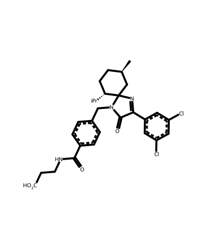 CC(C)[C@@H]1CC[C@@H](C)CC12N=C(c1cc(Cl)cc(Cl)c1)C(=O)N2Cc1ccc(C(=O)NCCC(=O)O)cc1